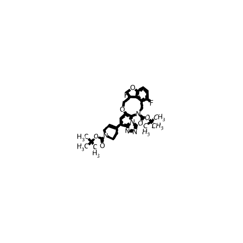 CC(C)(C)OC(=O)N1CC=C(c2cc3c(n4cnnc24)N(C(=O)OC(C)(C)C)Cc2c(F)ccc4c2[C@H](CO4)CO3)CC1